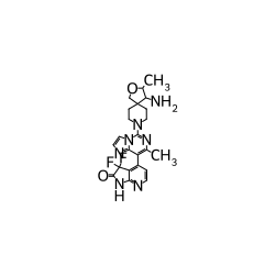 Cc1nc(N2CCC3(CC2)COC(C)C3N)n2ccnc2c1-c1ccnc2c1C(F)(F)C(=O)N2